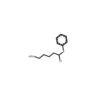 CCCCCCCCCCCCC(CC)Sc1ccccc1